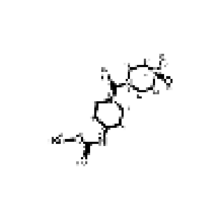 CC(C)(C)OC(=O)NC1CCN(C(=O)N2CCS(=O)(=O)CC2)CC1